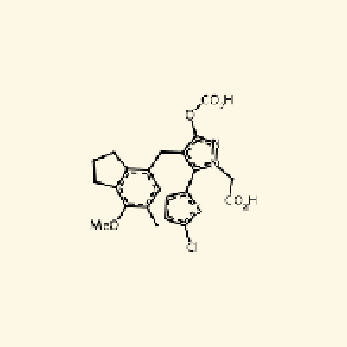 COc1c(C)cc(Cc2c(OC(=O)O)nn(CC(=O)O)c2-c2ccc(Cl)s2)c2c1CCC2